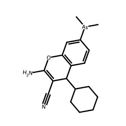 C[As](C)c1ccc2c(c1)OC(N)=C(C#N)C2C1CCCCC1